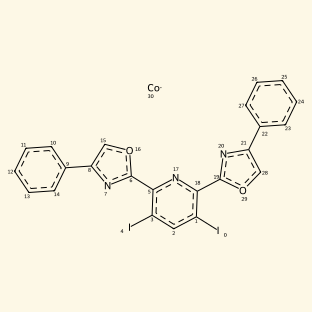 Ic1cc(I)c(-c2nc(-c3ccccc3)co2)nc1-c1nc(-c2ccccc2)co1.[Co]